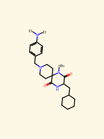 CCCCN1C(=O)C(CC2CCCCC2)NC(=O)C12CCN(Cc1ccc(N(CC)CC)cc1)CC2